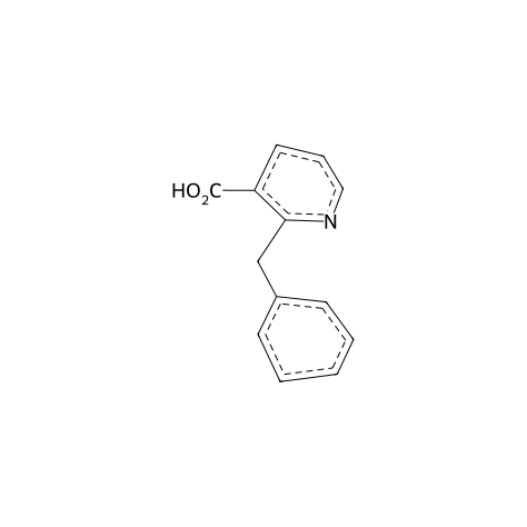 O=C(O)c1cccnc1Cc1ccccc1